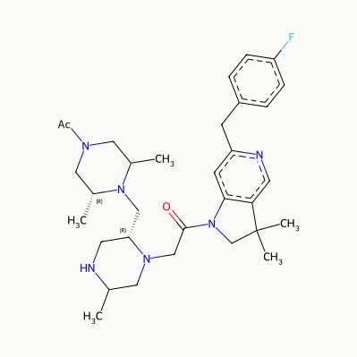 CC(=O)N1CC(C)N(C[C@H]2CNC(C)CN2CC(=O)N2CC(C)(C)c3cnc(Cc4ccc(F)cc4)cc32)[C@H](C)C1